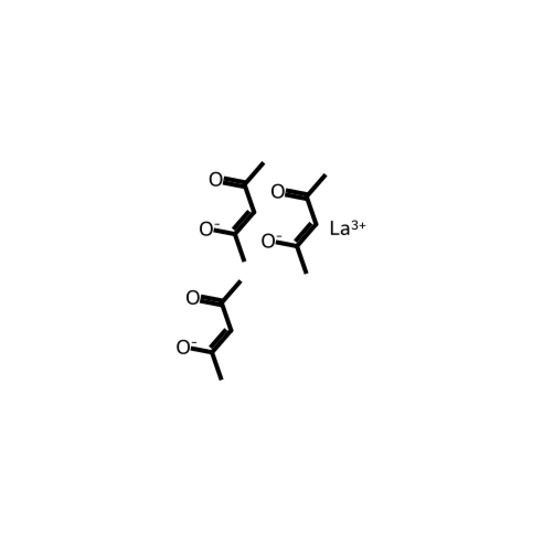 CC(=O)/C=C(/C)[O-].CC(=O)/C=C(/C)[O-].CC(=O)/C=C(/C)[O-].[La+3]